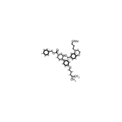 COCCCN1CCOc2ccc(COC3CN(C(=O)OCc4ccccc4)CCC3c3ccc(OCCCN(C)C)cc3)cc21